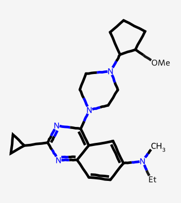 CCN(C)c1ccc2nc(C3CC3)nc(N3CCN(C4CCCC4OC)CC3)c2c1